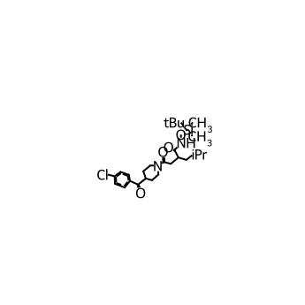 CC(C)CC(CC(=O)N1CCC(C(=O)c2ccc(Cl)cc2)CC1)C(=O)NO[Si](C)(C)C(C)(C)C